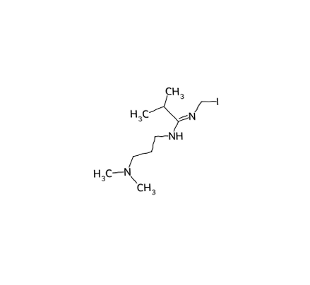 CC(C)/C(=N\CI)NCCCN(C)C